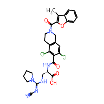 Cc1c(C(=O)N2CCc3c(cc(Cl)c(C(=O)N[C@@H](CN/C(=N/C#N)N4CCCC4)C(=O)O)c3Cl)C2)oc2ccccc12